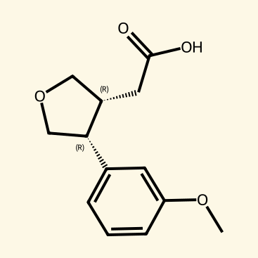 COc1cccc([C@@H]2COC[C@@H]2CC(=O)O)c1